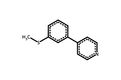 CSc1cccc(-c2ccncc2)c1